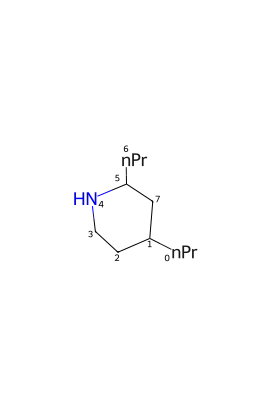 CCCC1CCNC(CCC)C1